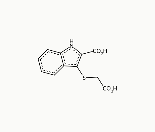 O=C(O)CSc1c(C(=O)O)[nH]c2ccccc12